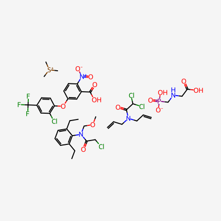 C=CCN(CC=C)C(=O)C(Cl)Cl.CCc1cccc(CC)c1N(COC)C(=O)CCl.C[S+](C)C.O=C(O)CNCP(=O)([O-])O.O=C(O)c1cc(Oc2ccc(C(F)(F)F)cc2Cl)ccc1[N+](=O)[O-]